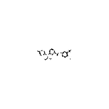 COc1ccc(NC(=O)c2cccc3c2OCC(CO)N3c2ccc(C)cn2)cc1C(F)(F)F